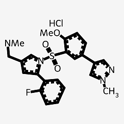 CNCc1cc(-c2ccccc2F)n(S(=O)(=O)c2cc(-c3cnn(C)c3)ccc2OC)c1.Cl